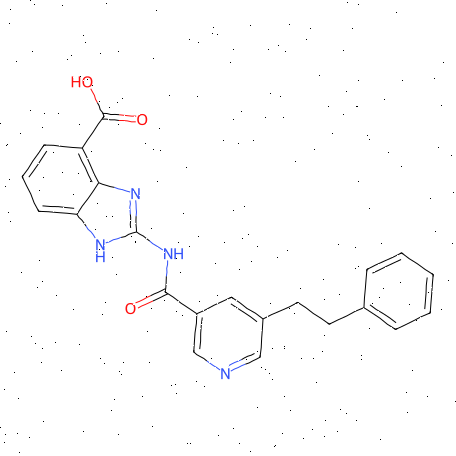 O=C(Nc1nc2c(C(=O)O)cccc2[nH]1)c1cncc(CCc2ccccc2)c1